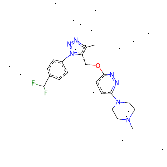 Cc1nnn(-c2ccc(C(F)F)cc2)c1COc1ccc(N2CCN(C)CC2)nn1